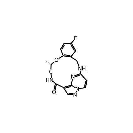 C[C@H]1CNC(=O)c2cnn3ccc(nc23)NCc2cc(F)ccc2O1